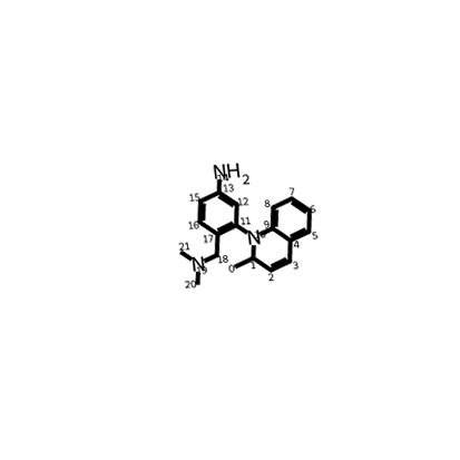 CC1C=Cc2ccccc2N1c1cc(N)ccc1CN(C)C